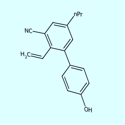 C=Cc1c(C#N)cc(CCC)cc1-c1ccc(O)cc1